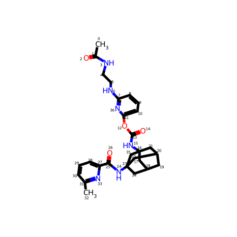 CC(=O)NCCNc1cccc(OC(=O)NC23CC4CC(C2)CC(NC(=O)c2cccc(C)n2)(C4)C3)n1